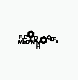 COC(=NC(=O)Nc1ccc(OC(F)(F)F)cc1)c1ccccc1C(F)(F)F